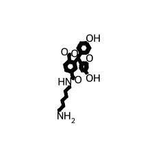 NCCCCCCNC(=O)c1ccc2c(c1)C1(OC2=O)c2ccc(O)cc2Oc2cc(O)ccc21